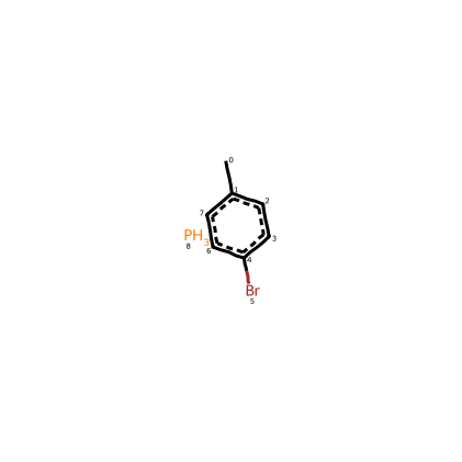 Cc1ccc(Br)cc1.P